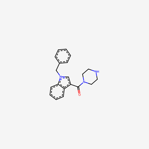 O=C(c1cn(Cc2ccccc2)c2ccccc12)N1CCNCC1